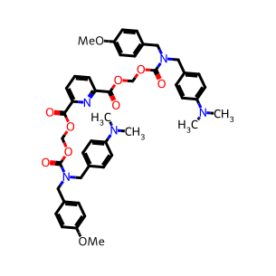 COc1ccc(CN(Cc2ccc(N(C)C)cc2)C(=O)OCOC(=O)c2cccc(C(=O)OCOC(=O)N(Cc3ccc(OC)cc3)Cc3ccc(N(C)C)cc3)n2)cc1